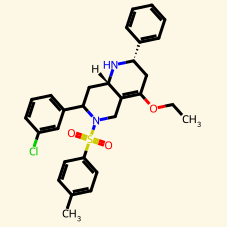 CCOC1=C2CN(S(=O)(=O)c3ccc(C)cc3)C(c3cccc(Cl)c3)C[C@@H]2N[C@H](c2ccccc2)C1